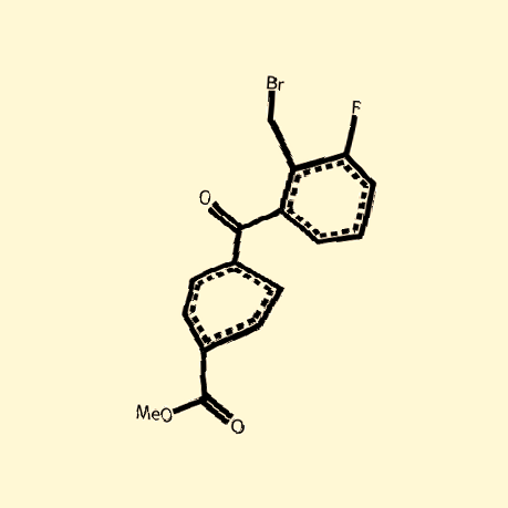 COC(=O)c1ccc(C(=O)c2cccc(F)c2CBr)cc1